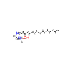 CCCCCCCCCCCCCCCC1=NCCN1C(C)O